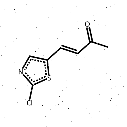 CC(=O)C=Cc1cnc(Cl)s1